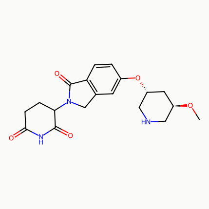 CO[C@H]1CNC[C@H](Oc2ccc3c(c2)CN(C2CCC(=O)NC2=O)C3=O)C1